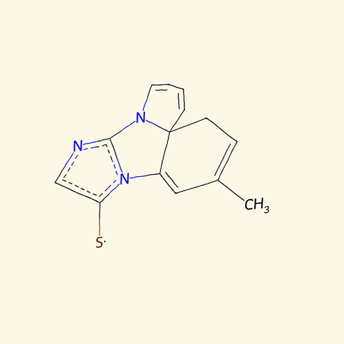 CC1=CCC23C=CC=CN2c2ncc([S])n2C3=C1